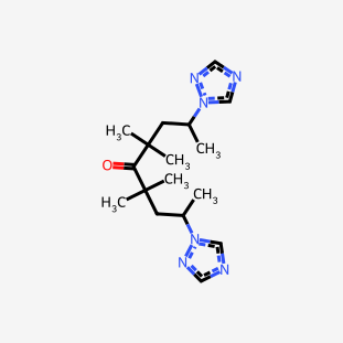 CC(CC(C)(C)C(=O)C(C)(C)CC(C)n1cncn1)n1cncn1